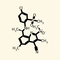 Cc1cc([C@@H](C)Nc2ccc(Cl)cc2S(C)(=O)=O)c2nc([S+](C)[O-])c(C)c(C#N)c2c1